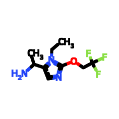 CCn1c(C(C)N)cnc1OCC(F)(F)F